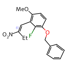 CC/C(=C\c1c(OC)ccc(OCc2ccccc2)c1F)[N+](=O)[O-]